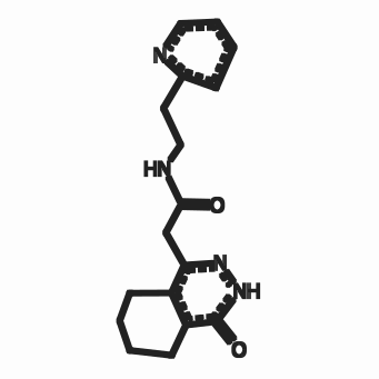 O=C(Cc1n[nH]c(=O)c2c1CCCC2)NCCc1ccccn1